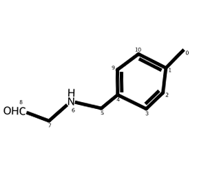 Cc1ccc(CNCC=O)cc1